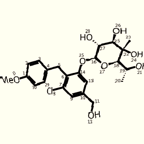 COc1ccc(Cc2c(Cl)cc(CO)cc2O[C@@H]2O[C@H]([C@@H](C)O)[C@@](C)(O)[C@H](O)[C@H]2O)cc1